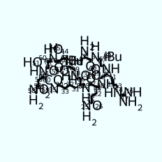 CC[C@H](C)[C@H](N)C(=O)N[C@H](C(=O)N[C@@H](CCCNC(=N)N)C(=O)N[C@@H](CCC(N)=O)C(=O)N[C@@H](CCCCN)C(=O)NCC(=O)N[C@@H](CO)C(=O)N[C@@H](CO)C(=O)N[C@@H](CC(N)=O)C(=O)O)[C@@H](C)CC